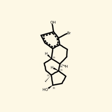 C[C@]12CC[C@@H]3c4ccc(O)c(Br)c4CC[C@H]3[C@@H]1CC[C@H]2O